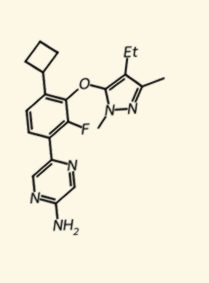 CCc1c(C)nn(C)c1Oc1c(C2CCC2)ccc(-c2cnc(N)cn2)c1F